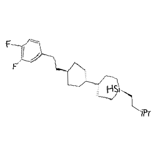 CC(C)CC[Si@H]1CC[C@H]([C@H]2CC[C@H](CCc3ccc(F)c(F)c3)CC2)CC1